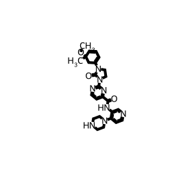 COC1(C)C=CC=C(N2CCN(c3nccc(C(=O)Nc4cnccc4N4CCNCC4)n3)C2=O)C1